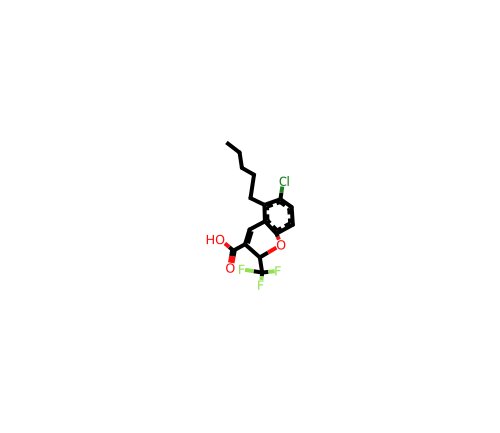 CCCCCc1c(Cl)ccc2c1C=C(C(=O)O)C(C(F)(F)F)O2